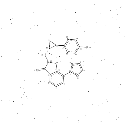 O=C1c2cccc(-c3ncco3)c2CN1C[C@@H]1C[C@H]1c1ccc(F)cn1